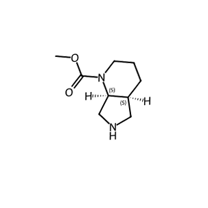 COC(=O)N1CCC[C@H]2CNC[C@H]21